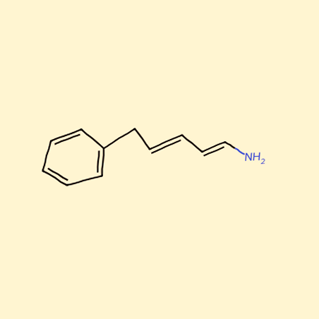 NC=CC=CCc1ccccc1